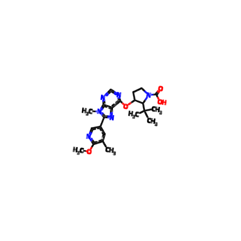 COc1ncc(-c2nc3c(OC4CCN(C(=O)O)C4C(C)(C)C)ncnc3n2C)cc1C